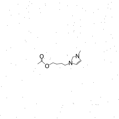 CC(=O)OCCCCN1C=CN(C)C1